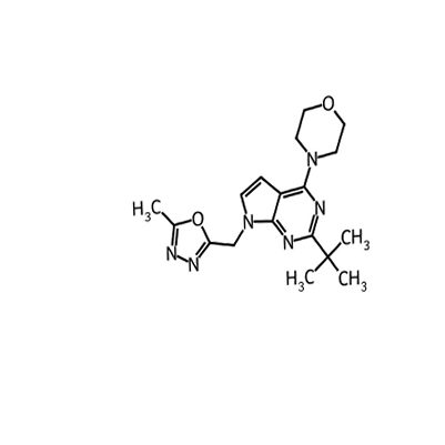 Cc1nnc(Cn2ccc3c(N4CCOCC4)nc(C(C)(C)C)nc32)o1